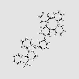 CC1(C)c2ccccc2-c2c1ccc1c2c2ccccc2n1-c1cccc(-c2ncc3c(n2)-c2ccccc2-c2ccccc2-c2ccccc2-3)c1